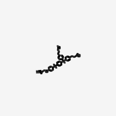 COCCCc1ccc(C(C)(c2ccc(CCC3CO3)cc2)c2ccc(C(C)(C)c3ccc(OCC4CN4)cc3)cc2)cc1